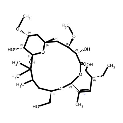 CC[C@H](/C=C(/C)[C@@H]1C[C@@H](CO)CC(C)C(C)(C)[C@@]2(O)O[C@@H](C[C@@H](OC)[C@H](O)C(=O)O1)C[C@@H](OC)[C@H]2O)CO